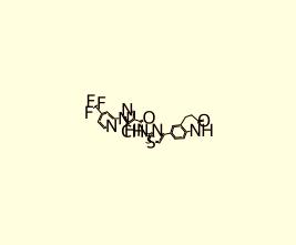 Cc1c(C(=O)Nc2nc(-c3ccc4c(c3)CCC(=O)N4)cs2)cnn1-c1cc(C(F)(F)F)ccn1